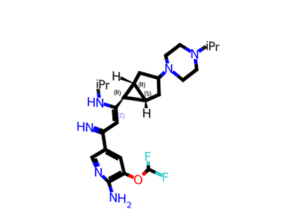 CC(C)N/C(=C\C(=N)c1cnc(N)c(OC(F)F)c1)[C@H]1[C@@H]2CC(N3CCN(C(C)C)CC3)C[C@@H]21